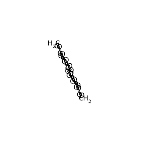 C=CC(=O)OCCCCOC(=O)Oc1ccc(C(=O)Oc2ccc(C(=O)O[C@H]3CO[C@H]4[C@@H]3OC[C@H]4OC(=O)c3ccc(OC(=O)c4ccc(OC(=O)OCCCCOC(=O)C=C)cc4)cc3)cc2)cc1